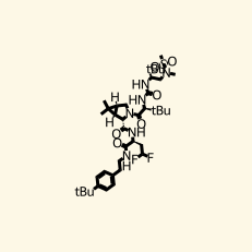 CN(C[C@@H](NC(=O)N[C@H](C(=O)N1C[C@H]2[C@@H]([C@H]1C(=O)N[C@@H](CC(F)F)C(=O)NCCc1ccc(C(C)(C)C)cc1)C2(C)C)C(C)(C)C)C(C)(C)C)S(C)(=O)=O